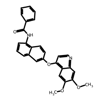 COc1cc2nccc(Oc3ccc4c(NC(=O)c5ccccc5)cccc4c3)c2cc1OC